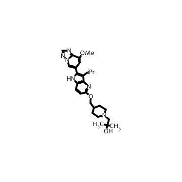 COc1cc(-c2[nH]c3ccc(OCC4CCN(CC(C)(C)O)CC4)nc3c2C(C)C)cn2ncnc12